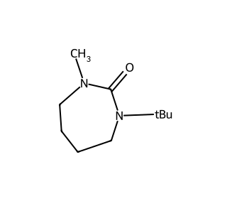 CN1CCCCN(C(C)(C)C)C1=O